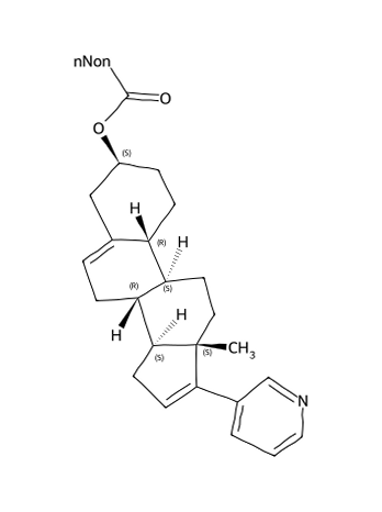 CCCCCCCCCC(=O)O[C@H]1CC[C@H]2C(=CC[C@@H]3[C@@H]2CC[C@]2(C)C(c4cccnc4)=CC[C@@H]32)C1